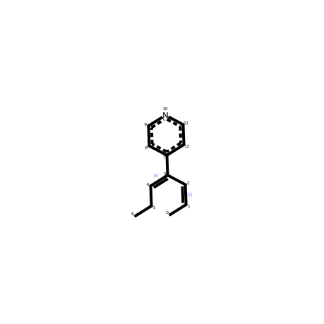 C/C=C\C(=C/CC)c1ccncc1